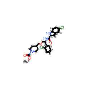 CC(C)(C)OC(=O)N1CCC(COCC(NC(=O)c2cc3cc(Cl)ccc3[nH]2)c2ccccc2Cl)CC1